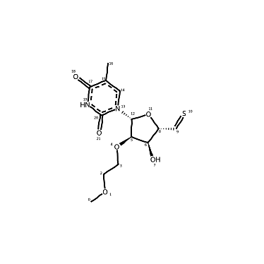 COCCO[C@@H]1[C@H](O)[C@@H](C=S)O[C@H]1n1cc(C)c(=O)[nH]c1=O